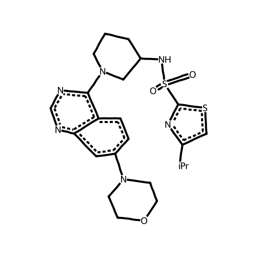 CC(C)c1csc(S(=O)(=O)NC2CCCN(c3ncnc4cc(N5CCOCC5)ccc34)C2)n1